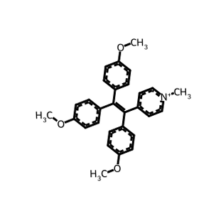 COc1ccc(C(=C(c2ccc(OC)cc2)c2cc[n+](C)cc2)c2ccc(OC)cc2)cc1